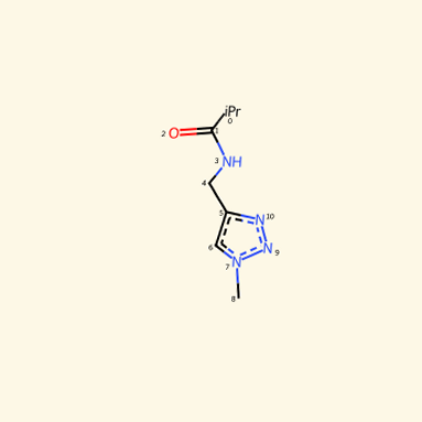 CC(C)C(=O)NCc1cn(C)nn1